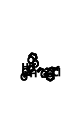 C/C(Cl)=C/CC[C@@H](/C=C/[C@@H]1[C@H]2CC(=O)O[C@H]2C[C@H]1OC1CCCCO1)OC1CCCCO1